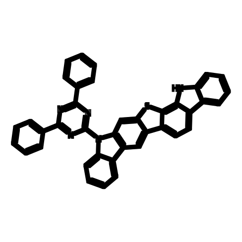 c1ccc(-c2nc(-c3ccccc3)nc(-n3c4ccccc4c4cc5c(cc43)sc3c5ccc4c5ccccc5[nH]c43)n2)cc1